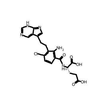 Nc1c(C(=O)N[C@@H](CCC(=O)O)C(=O)O)ccc(Cl)c1CCc1cnc2[nH]cncc1-2